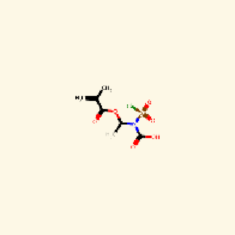 C=C(C)C(=O)OC(C)N(C(=O)O)S(=O)(=O)Cl